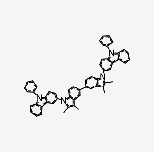 Cc1c(C)n(-c2ccc3c(c2)c2ccccc2n3-c2ccccc2)c2ccc(-c3ccc4c(c3)c(C)c(C)n4-c3ccc4c(c3)c3ccccc3n4-c3ccccc3)cc12